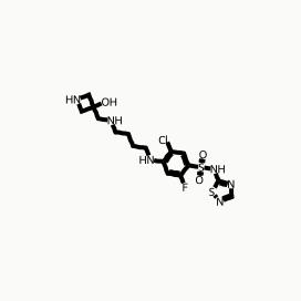 O=S(=O)(Nc1ncns1)c1cc(Cl)c(NCCCCNCC2(O)CNC2)cc1F